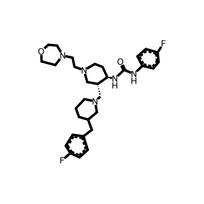 O=C(Nc1ccc(F)cc1)N[C@@H]1CCN(CCN2CCOCC2)C[C@H]1CN1CCCC(Cc2ccc(F)cc2)C1